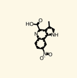 Cc1c[nH]c2c1c(C(=O)O)nc1ccc([N+](=O)[O-])cc12